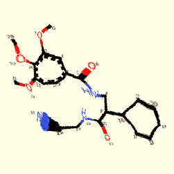 COc1cc(C(=O)NCC(C(=O)NCC#N)C2CCCCC2)cc(OC)c1OC